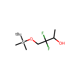 CC(O)C(F)(F)CO[Si](C)(C)C(C)(C)C